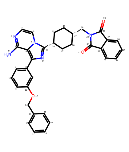 Nc1nccn2c1c(-c1cccc(OCc3ccccc3)c1)nc2[C@H]1CC[C@@H](CN2C(=O)c3ccccc3C2=O)CC1